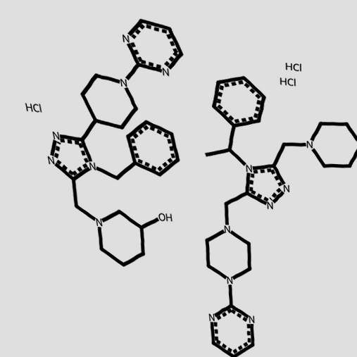 CC(c1ccccc1)n1c(CN2CCOCC2)nnc1CN1CCN(c2ncccn2)CC1.Cl.Cl.Cl.OC1CCCN(Cc2nnc(C3CCN(c4ncccn4)CC3)n2Cc2ccccc2)C1